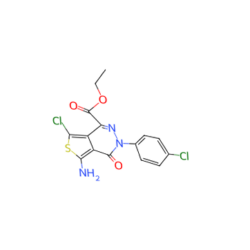 CCOC(=O)c1nn(-c2ccc(Cl)cc2)c(=O)c2c(N)sc(Cl)c12